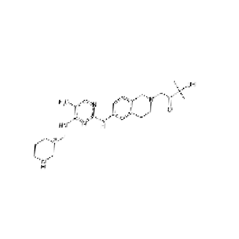 CC(C)(O)C(=O)CN1CCc2cc(Nc3ncc(C(F)(F)F)c(NC[C@H]4CCCNC4)n3)ccc2C1